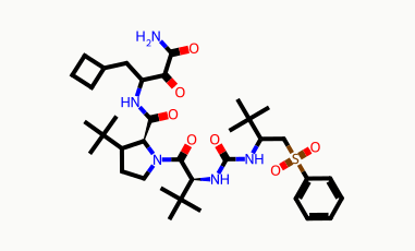 CC(C)(C)C(CS(=O)(=O)c1ccccc1)NC(=O)N[C@H](C(=O)N1CCC(C(C)(C)C)[C@H]1C(=O)NC(CC1CCC1)C(=O)C(N)=O)C(C)(C)C